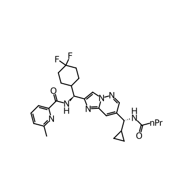 CCCC(=O)N[C@@H](c1cnn2cc([C@@H](NC(=O)c3cccc(C)n3)C3CCC(F)(F)CC3)nc2c1)C1CC1